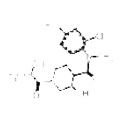 CC1CN(C(=O)[C@@H](O)C(F)(F)F)CCC1C(=O)N(C)c1ccc(C(F)(F)F)cc1Cl